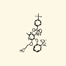 Cc1nc(NS(=O)(=O)c2ccc(C(C)(C)C)cc2)c(Oc2ccccc2[S+](C)[O-])c(OCCO)n1